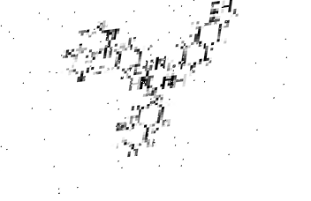 C[C@@H]1C=Cc2ccc(C3=NC(c4ccc(C5=C6C=CC=CC6CC=N5)cc4)NC(c4ccc5ccccc5c4)N3)cc2C1